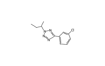 CCC(C)n1nnc(-c2cccc(Cl)c2)n1